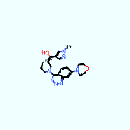 CC(C)n1cc([C@H](O)[C@H]2CCCN(c3nnnc4cc(N5CCOCC5)ccc34)C2)cn1